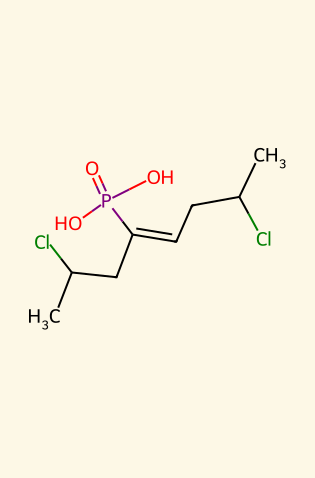 CC(Cl)CC=C(CC(C)Cl)P(=O)(O)O